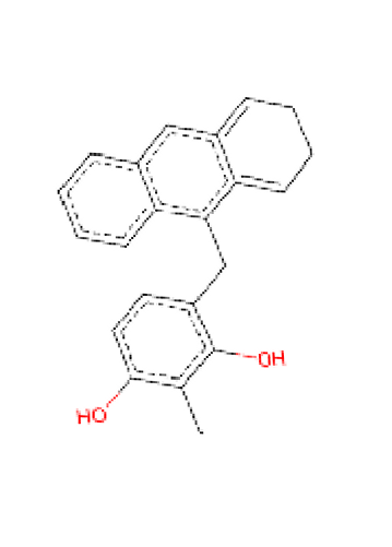 Cc1c(O)ccc(Cc2c3c(cc4ccccc24)=CCCC=3)c1O